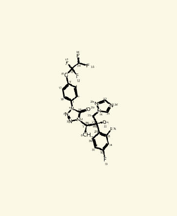 C[C@@H](n1nnn(-c2ccc(OC(F)(F)C(F)F)cc2)c1=O)[C@](O)(Cn1cncn1)c1ccc(F)cc1F